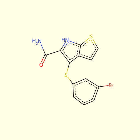 NC(=O)c1[nH]c2sccc2c1Sc1cccc(Br)c1